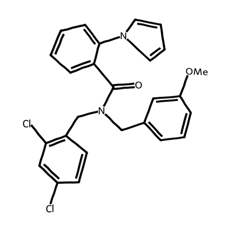 COc1cccc(CN(Cc2ccc(Cl)cc2Cl)C(=O)c2ccccc2-n2cccc2)c1